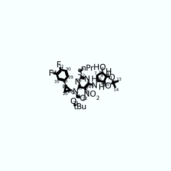 CCCSc1nc(N[C@@H]2C[C@H](O)[C@H]3OC(C)(C)O[C@H]32)c([N+](=O)[O-])c(N(C(=O)OC(C)(C)C)[C@@H]2C[C@H]2c2ccc(F)c(F)c2)n1